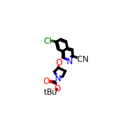 CC(C)(C)OC(=O)N1CCC(Oc2nc(C#N)cc3ccc(Cl)cc23)C1